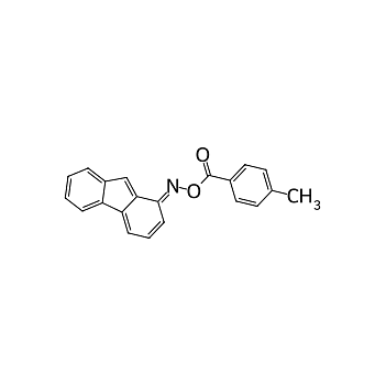 Cc1ccc(C(=O)ON=C2C=CC=C3C2=Cc2ccccc23)cc1